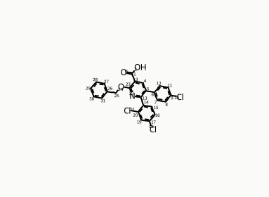 O=C(O)c1cc(-c2ccc(Cl)cc2)c(-c2ccc(Cl)cc2Cl)nc1OCc1ccccc1